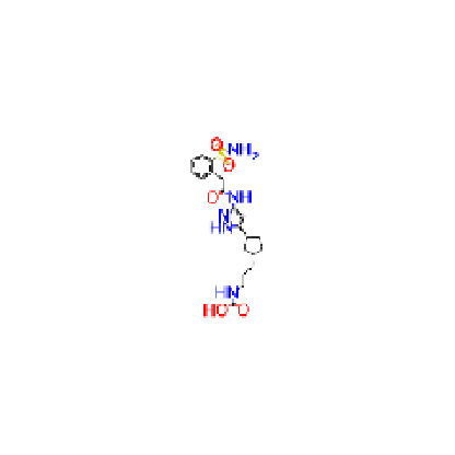 NS(=O)(=O)c1ccccc1CC(=O)Nc1cc([C@H]2CC[C@H](CCCNC(=O)O)C2)[nH]n1